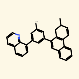 CCc1cc(-c2cc3ccccc3c3c2CC(C)C=C3)cc(-c2cccc3cccnc23)c1